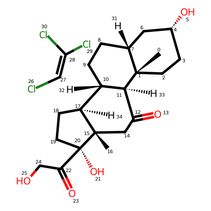 C[C@]12CC[C@@H](O)C[C@H]1CC[C@@H]1[C@@H]2C(=O)C[C@@]2(C)[C@H]1CC[C@]2(O)C(=O)CO.ClC=C(Cl)Cl